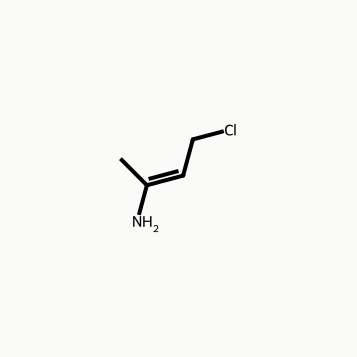 C/C(N)=C\CCl